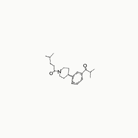 CC(C)CCC(=O)N1CCC(c2cccc(C(=O)C(C)C)c2)CC1